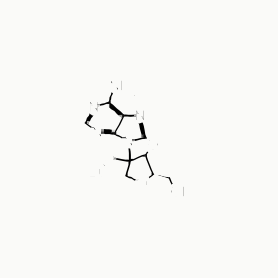 CCOC1(n2cnc3c(N)ncnc32)CO[C@H](CO)C1O